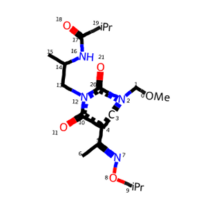 COCn1cc(C(C)=NOC(C)C)c(=O)n(CC(C)NC(=O)C(C)C)c1=O